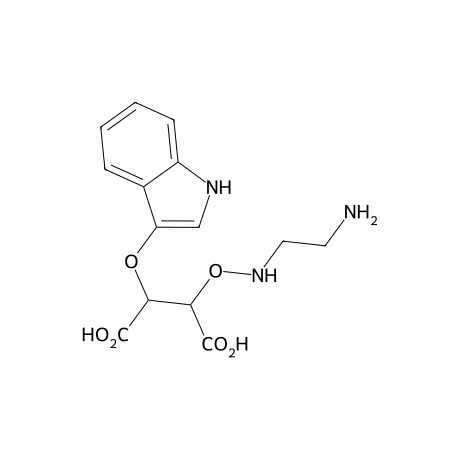 NCCNOC(C(=O)O)C(Oc1c[nH]c2ccccc12)C(=O)O